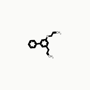 C=CCOc1cc(CC=C)cc(-c2ccccc2)c1